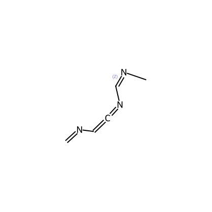 C=NC=C=N/C=N\C